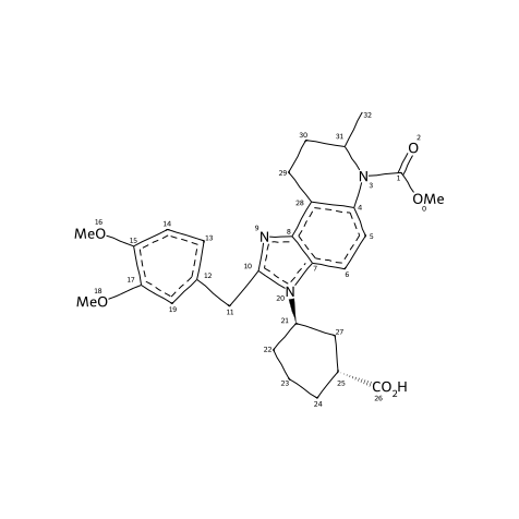 COC(=O)N1c2ccc3c(nc(Cc4ccc(OC)c(OC)c4)n3[C@@H]3CCC[C@@H](C(=O)O)C3)c2CCC1C